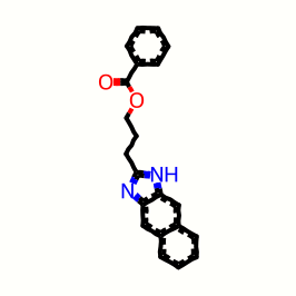 O=C(OCCCc1nc2cc3ccccc3cc2[nH]1)c1ccccc1